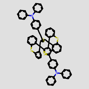 c1ccc(N(c2ccccc2)c2ccc(-c3cc4c(s3)C3(c5ccccc5Sc5ccccc53)c3cc(-c5ccc(N(c6ccccc6)c6ccccc6)cc5)sc3C43c4ccccc4Sc4ccccc43)cc2)cc1